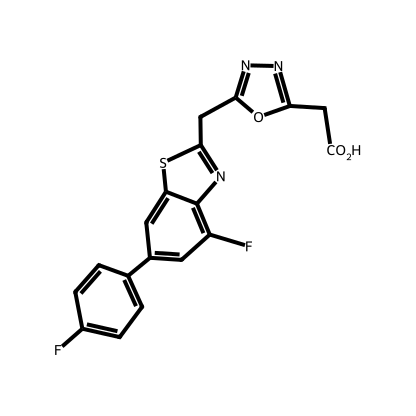 O=C(O)Cc1nnc(Cc2nc3c(F)cc(-c4ccc(F)cc4)cc3s2)o1